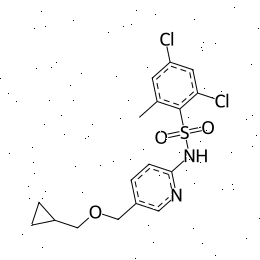 Cc1cc(Cl)cc(Cl)c1S(=O)(=O)Nc1ccc(COCC2CC2)cn1